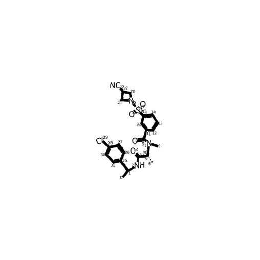 CC(NC(=O)[C@@H](C)N(C)C(=O)c1cccc(S(=O)(=O)N2CC(C#N)C2)c1)c1ccc(Cl)cc1